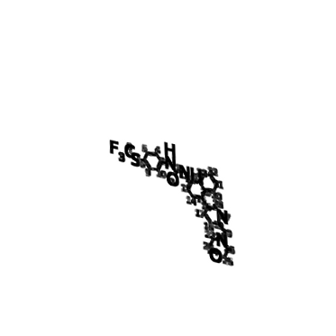 O=C(Nc1ccc(SC(F)(F)F)cc1)Nc1ccc(-c2ccc(CN3CCOCC3)nc2)c2ccccc12